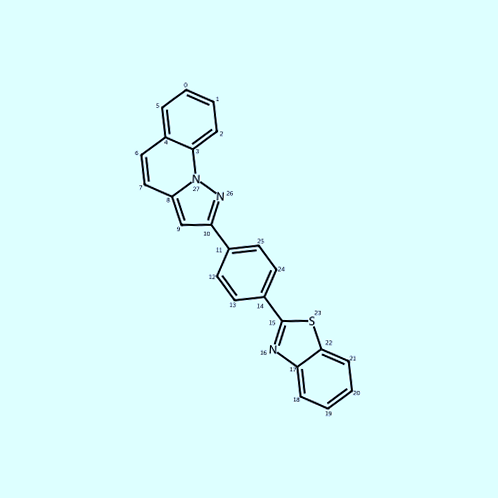 c1ccc2c(c1)ccc1cc(-c3ccc(-c4nc5ccccc5s4)cc3)nn12